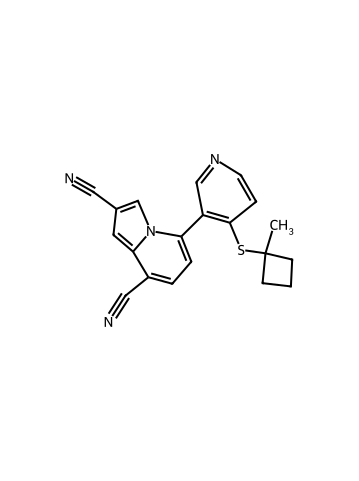 CC1(Sc2ccncc2-c2ccc(C#N)c3cc(C#N)cn23)CCC1